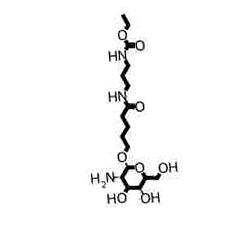 CCOC(=O)NCCCNC(=O)CCCCO[C@@H]1OC(CO)[C@H](O)C(O)[C@@H]1N